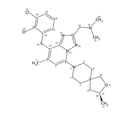 Cc1cc(N2CCC3(CC2)CO[C@@H](C)C3)n2nc(CN(C)C)nc2c1Sc1cccc(Cl)c1Cl